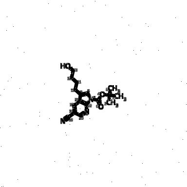 CC(C)(C)OC(=O)n1cc(CCCCO)c2cc(C#N)cnc21